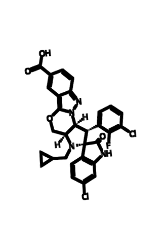 O=C(O)c1ccc2nn3c(c2c1)OC[C@H]1[C@@H]3[C@H](c2cccc(Cl)c2F)[C@]2(C(=O)Nc3cc(Cl)ccc32)N1CC1CC1